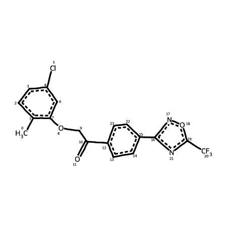 Cc1ccc(Cl)cc1OCC(=O)c1ccc(-c2noc(C(F)(F)F)n2)cc1